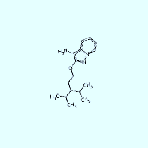 CC(C)[C](CCOc1nn2ccccc2c1N)C(C)C